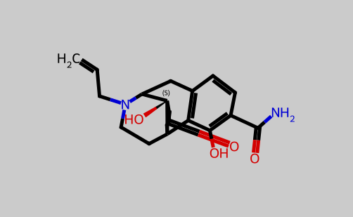 C=CCN1CCC23CC(=O)CC[C@@]2(O)C1Cc1ccc(C(N)=O)c(O)c13